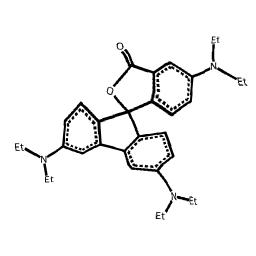 CCN(CC)c1ccc2c(c1)C(=O)OC21c2ccc(N(CC)CC)cc2-c2cc(N(CC)CC)ccc21